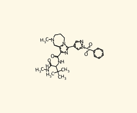 CNC(=O)C(NC(=O)c1nc(-c2cnn(S(=O)(=O)c3ccccc3)c2)n2c1CN(C)CCC2)C(C)(C)C